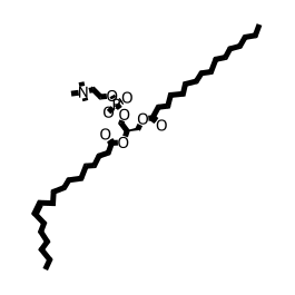 CCCCCC/C=C\CCCCCCCCCC(=O)O[C@H](COC(=O)CCCCCCCCCCCCCCC)COP(=O)([O-])OCC[N+](C)(C)C